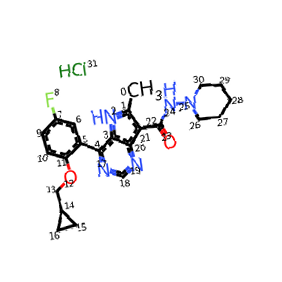 Cc1[nH]c2c(-c3cc(F)ccc3OCC3CC3)ncnc2c1C(=O)NN1CCCCC1.Cl